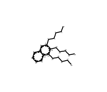 CCCCCc1[c]c2ccccc2c(CCCCC)c1CCCCC